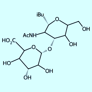 CCC(C)[C@@H]1OC(CO)C(O)[C@H](O[C@H]2OC(C(=O)O)C(O)[C@@H](O)C2O)C1NC(C)=O